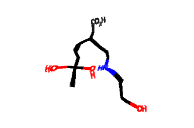 CC(O)(O)CC(CNCCO)C(=O)O